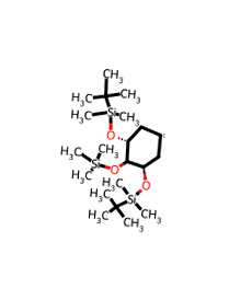 CC(C)(C)[Si](C)(C)O[C@@H]1C[C]C[C@@H](O[Si](C)(C)C(C)(C)C)C1O[Si](C)(C)C